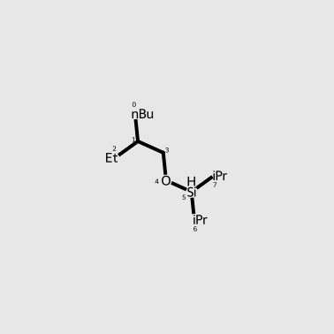 CCCCC(CC)CO[SiH](C(C)C)C(C)C